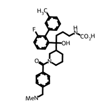 CNCc1ccc(C(=O)N2CCCC(C(O)(CCCNC(=O)O)c3cccc(F)c3-c3cccc(C)c3)C2)cc1